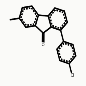 Cc1ccc2c(c1)C(=O)c1c(-c3ccc(Cl)cc3)cccc1-2